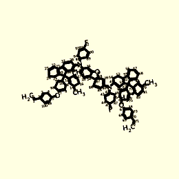 C=CC1=CCC(OC2=CCC(C3(C4=CC(C)CC=C4C)C4=C(C=CCC4)c4ccc(N(c5ccc6c(c5)oc5cc(N(C7=CCC(F)CC7)C7=CC8C(CC7)c7ccccc7C8(C7=CCC(Oc8ccc(C=C)cc8)C=C7)c7cc(C)ccc7C)ccc56)C5C=CC(F)=CC5)cc43)CC2)C=C1